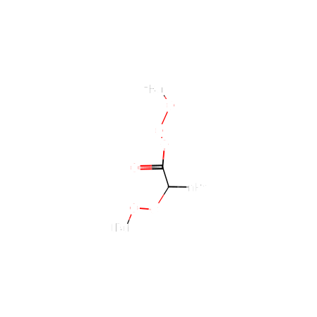 CCCC(OOC(C)(C)C)C(=O)OOOC(C)(C)C